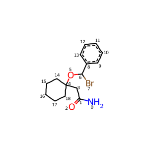 NC(=O)CC1(OC(Br)c2ccccc2)CCCCC1